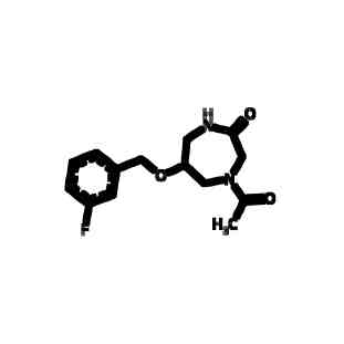 CC(=O)N1CC(=O)NCC(OCc2cccc(F)c2)C1